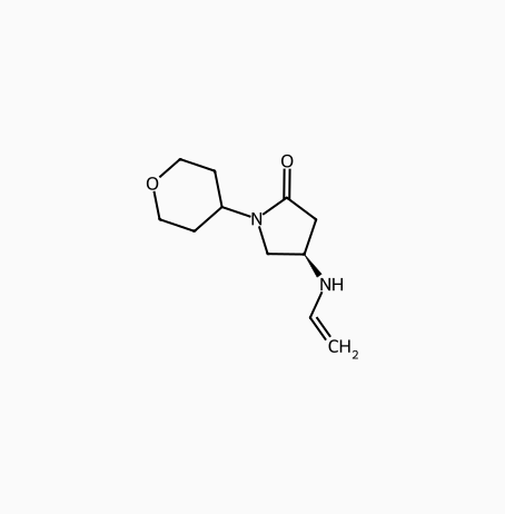 C=CN[C@@H]1CC(=O)N(C2CCOCC2)C1